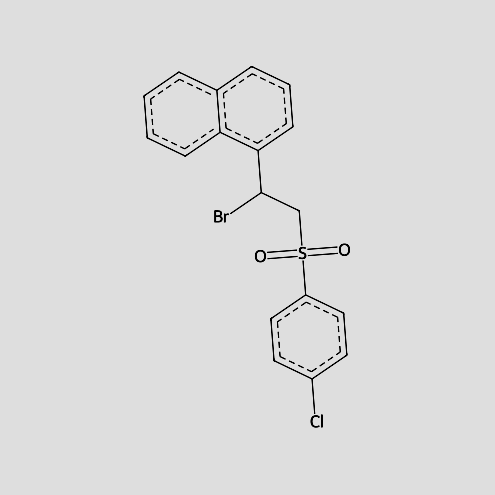 O=S(=O)(CC(Br)c1cccc2ccccc12)c1ccc(Cl)cc1